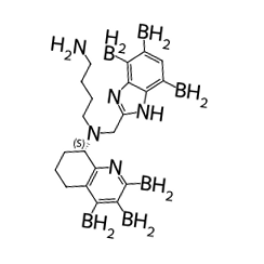 Bc1cc(B)c2[nH]c(CN(CCCCN)[C@H]3CCCc4c3nc(B)c(B)c4B)nc2c1B